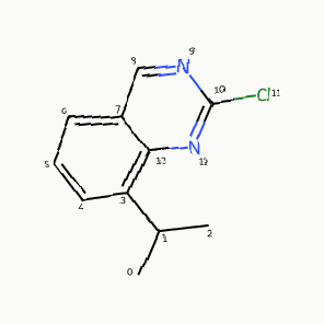 CC(C)c1cccc2cnc(Cl)nc12